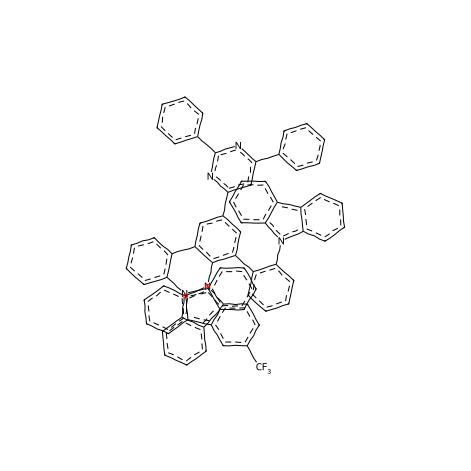 FC(F)(F)c1ccc2c(c1)c1ccccc1n2-c1c(-c2ccccc2-n2c3ccccc3c3ccccc32)cc(-c2cc(-c3ccccc3)nc(-c3ccccc3)n2)cc1-c1ccccc1-n1c2ccccc2c2ccccc21